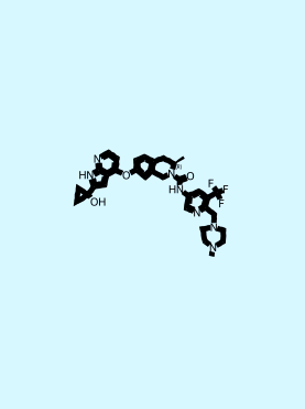 C[C@@H]1Cc2ccc(Oc3ccnc4[nH]c(C5(O)CC5)cc34)cc2CN1C(=O)Nc1cnc(CN2CCN(C)CC2)c(C(F)(F)F)c1